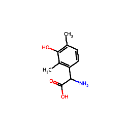 Cc1ccc(C(N)C(=O)O)c(C)c1O